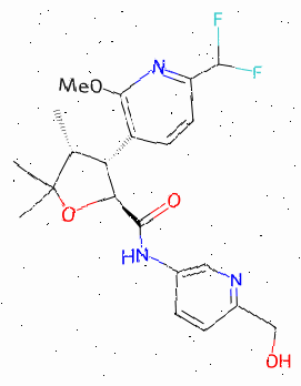 COc1nc(C(F)F)ccc1[C@@H]1[C@@H](C(=O)Nc2ccc(CO)nc2)OC(C)(C)[C@@H]1C